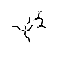 CC(=O)CC(=O)O.CC[O][Zr]([CH2]C)([O]CC)[O]CC